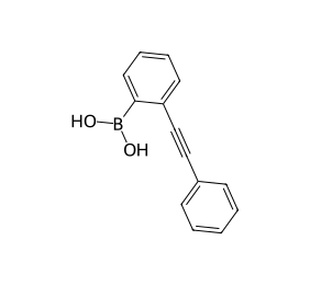 OB(O)c1ccccc1C#Cc1ccccc1